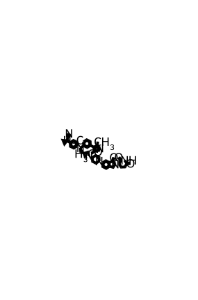 Cc1ccc(-c2c(C)noc2C)cc1N(CC1CN(C2CCN(c3ccc4c(c3)C(=O)N(C3CCC(=O)NC3=O)C4)CC2)C1)c1ccc(C2(C#N)CC2)cc1